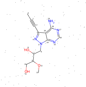 CC#Cc1nn(CC(O)C(CO)OC)c2ncnc(N)c12